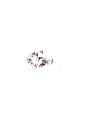 CC[C@H](C)C1NC(=O)CNC(=O)CNC(=O)[C@H]([C@@H](C)[C@@H](O)CO)NC(=O)[C@@H]2CC(O)CN2C2(CCCCCCNC(=O)OC(C)(C)C)Oc3ccc4c(C)c([nH]c4c3)SCC(NC(=O)CNC1=O)C(=O)N[C@@H](CC(N)=O)C2=O